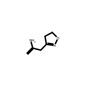 C=C(N)CC1=NO[C]C1